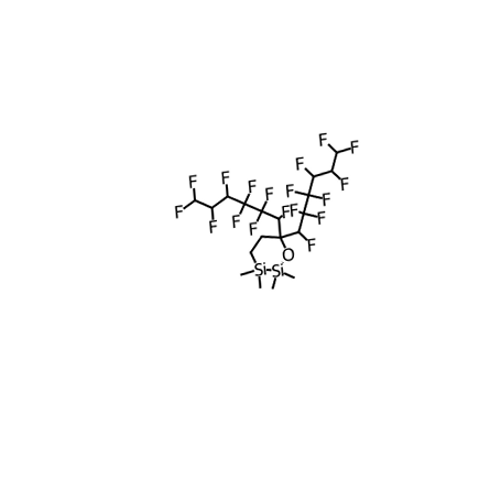 C[Si]1(C)CCC(C(F)C(F)(F)C(F)(F)C(F)C(F)C(F)F)(C(F)C(F)(F)C(F)(F)C(F)C(F)C(F)F)O[Si]1(C)C